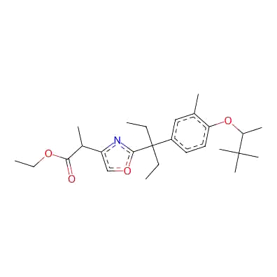 CCOC(=O)C(C)c1coc(C(CC)(CC)c2ccc(OC(C)C(C)(C)C)c(C)c2)n1